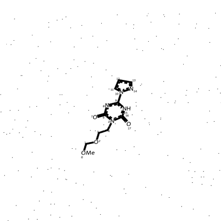 COCOCCn1c(=O)nc(-n2cccn2)[nH]c1=O